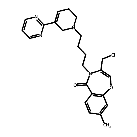 Cc1ccc2c(c1)OC=C(CCl)N(CCCCN1CCC=C(c3ncccn3)C1)C2=O